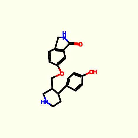 O=C1NCc2ccc(OCC3CNCCC3c3ccc(O)cc3)cc21